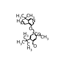 COc1cc(C=O)c(C(C)(C)C)c[n+]1COc1cncc(C(C)(C)C)c1C=O